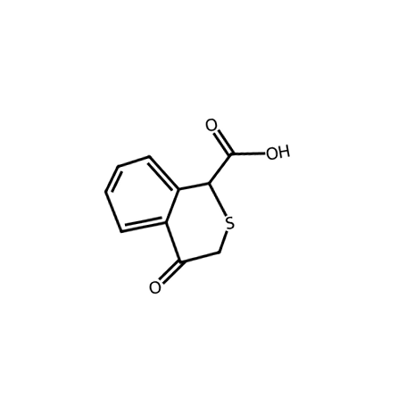 O=C1CSC(C(=O)O)c2ccccc21